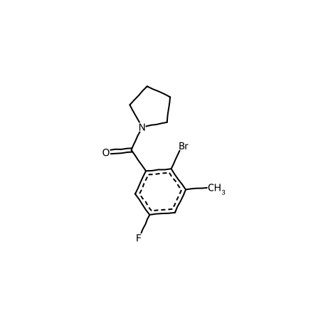 Cc1cc(F)cc(C(=O)N2CCCC2)c1Br